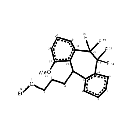 CCOCCCC1c2ccccc2C(F)(F)C(F)(F)c2cccc(OC)c21